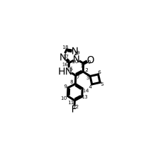 O=c1c(C2CCC2)c(-c2ccc(F)cc2)[nH]c2ncnn12